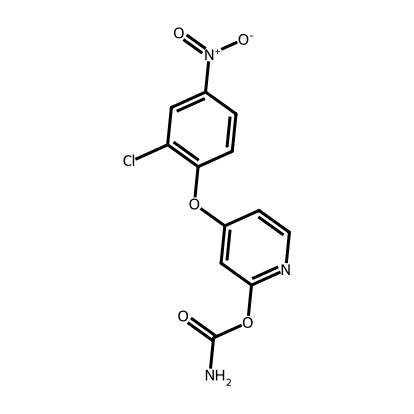 NC(=O)Oc1cc(Oc2ccc([N+](=O)[O-])cc2Cl)ccn1